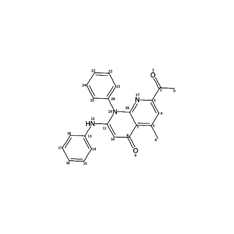 CC(=O)c1cc(C)c2c(=O)cc(Nc3ccccc3)n(-c3ccccc3)c2n1